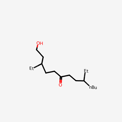 CCCCC(CC)CCC(=O)CCC(CC)CCO